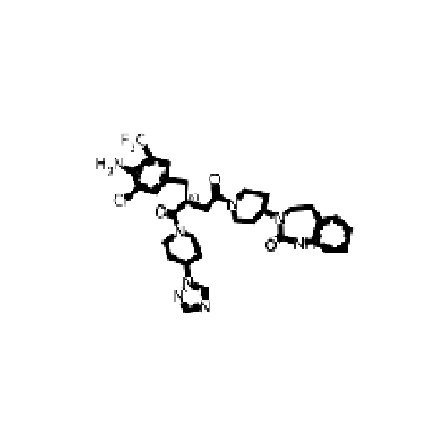 Nc1c(Cl)cc(C[C@@H](CC(=O)N2CCC(N3CCc4ccccc4NC3=O)CC2)C(=O)N2CCC(n3cncn3)CC2)cc1C(F)(F)F